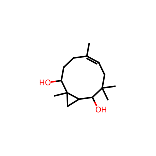 CC1=CCC(C)(C)C(O)C2CC2(C)C(O)CC1